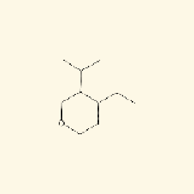 CCC1CCOCC1C(C)C